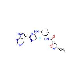 Cc1cc(C(=O)N[C@H]2CCC[C@@H](Nc3nc(-c4c[nH]c5ncncc45)ncc3F)C2)on1